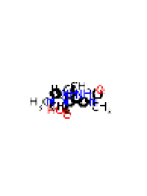 CC(C)C(=N)c1c(-c2ccc(N(C)C3CCOCC3)cc2)cc(C(=O)O)nc1Nc1cccc(N(C)C)c1